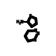 Nc1cccs1.c1cnnnc1